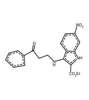 CCOC(=O)c1[nH]c2cc([N+](=O)[O-])ccc2c1NCCC(=O)c1ccccc1